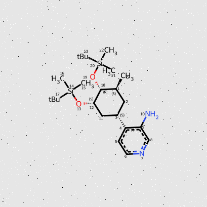 C[C@H]1C[C@H](c2ccncc2N)C[C@H](O[Si](C)(C)C(C)(C)C)[C@@H]1O[Si](C)(C)C(C)(C)C